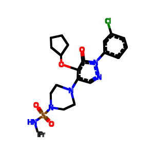 CC(C)NS(=O)(=O)N1CCN(c2cnn(-c3cccc(Cl)c3)c(=O)c2OC2CCCC2)CC1